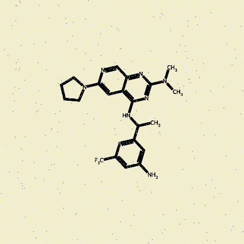 CC(Nc1nc(N(C)C)nc2cnc(N3CCCC3)cc12)c1cc(N)cc(C(F)(F)F)c1